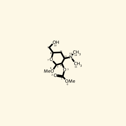 COC(=O)OC1C(OC)OC(CO)CC1N(C)C